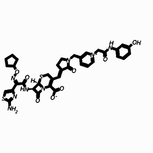 Nc1nc(/C(=N/OC2CCCC2)C(=O)N[C@@H]2C(=O)N3C(C(=O)[O-])=C(/C=C4\CCN(Cc5ccc[n+](CC(=O)Nc6cccc(O)c6)c5)C4=O)CS[C@H]23)cs1